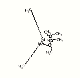 CCCCC1=C(c2cc(CCCC)cc(CCCC)c2)[N+](=[N-])C(c2cc(CCCC)cc(CCCC)c2)=C1.CCCCCCCCCCCCCCCCCCCCCCC[CH2][Pd][CH2]CCCCCCCCCCCCCCCCCCCCCCC